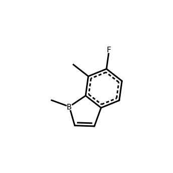 CB1C=Cc2ccc(F)c(C)c21